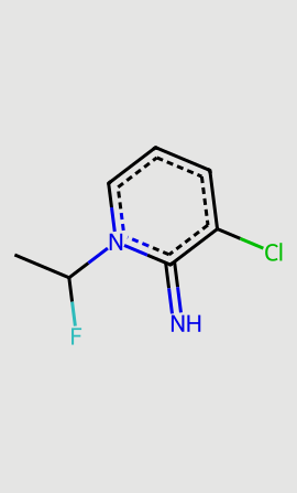 CC(F)n1cccc(Cl)c1=N